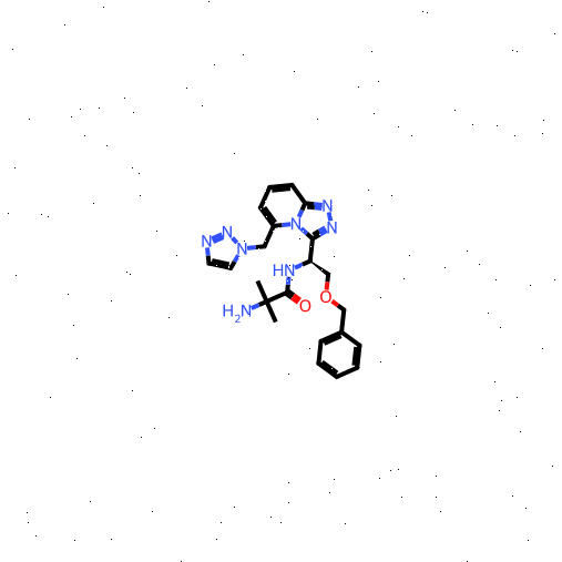 CC(C)(N)C(=O)N[C@H](COCc1ccccc1)c1nnc2cccc(Cn3ccnn3)n12